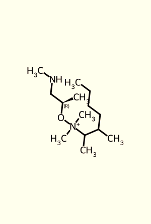 CCCCC(C)C(C)[N+](C)(C)O[C@H](C)CNC